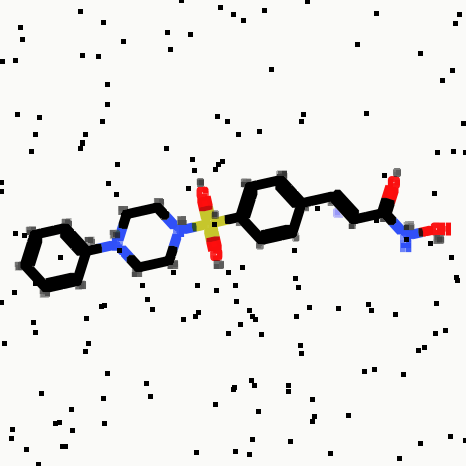 O=C(/C=C/c1ccc(S(=O)(=O)N2CCN(c3ccccc3)CC2)cc1)NO